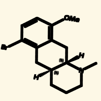 COc1ccc(Br)c2c1C[C@H]1[C@@H](CCCN1C)C2